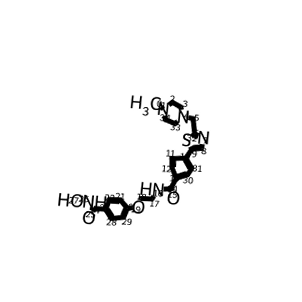 CN1CCN(Cc2ncc(-c3ccc(C(=O)NCCOc4ccc(C(=O)NO)cc4)cc3)s2)CC1